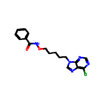 O=C(NOCCCCCn1cnc2c(Cl)ncnc21)c1ccccc1